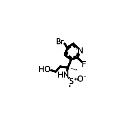 C[S@@+]([O-])N[C@@](C)(CCO)c1cc(Br)cnc1F